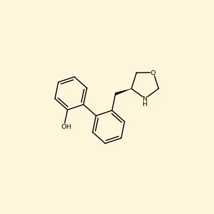 Oc1ccccc1-c1ccccc1C[C@H]1COCN1